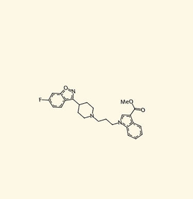 COC(=O)c1cn(CCCN2CCC(c3noc4cc(F)ccc34)CC2)c2ccccc12